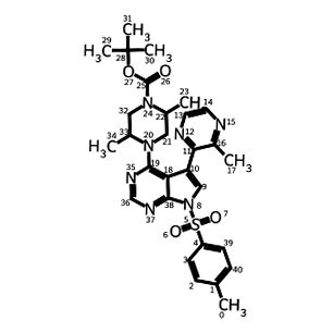 Cc1ccc(S(=O)(=O)n2cc(-c3nccnc3C)c3c(N4CC(C)N(C(=O)OC(C)(C)C)CC4C)ncnc32)cc1